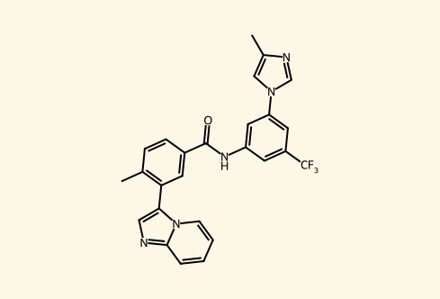 Cc1cn(-c2cc(NC(=O)c3ccc(C)c(-c4cnc5ccccn45)c3)cc(C(F)(F)F)c2)cn1